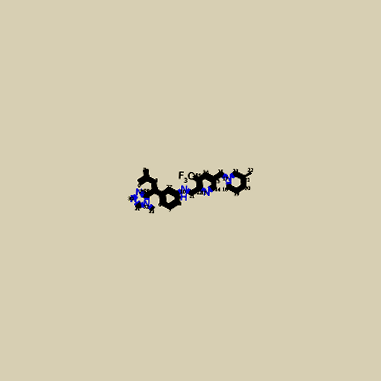 C=C(C)CC(c1cccc(NCc2ncc(CN3CCC[C@H](C)C3)cc2C(F)(F)F)c1)c1nncn1C